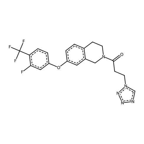 O=C(CCn1cnnn1)N1CCc2ccc(Oc3ccc(C(F)(F)F)c(F)c3)cc2C1